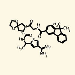 CC(NC(=O)[C@@H]1CC2(CN1C(=O)CNC(=O)c1ccc3c(c1)-c1ccccc1C3(C)C)OCCO2)c1cc(C(=N)N)cs1